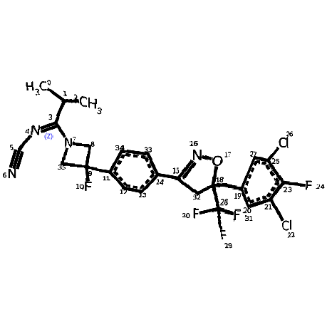 CC(C)/C(=N/C#N)N1CC(F)(c2ccc(C3=NOC(c4cc(Cl)c(F)c(Cl)c4)(C(F)(F)F)C3)cc2)C1